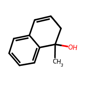 CC1(O)CC=Cc2ccccc21